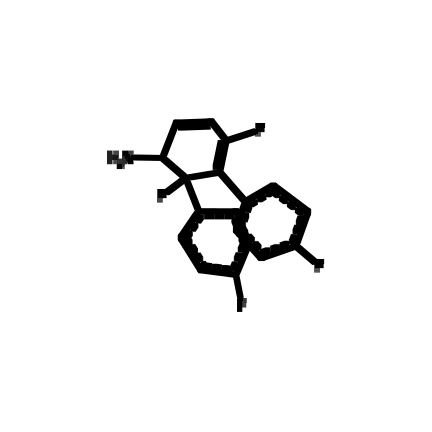 NC1C=CC(F)=C(c2ccc(F)cc2)C1(F)c1ccc(F)cc1